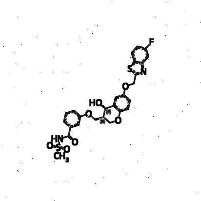 CS(=O)(=O)NC(=O)c1cccc(OC[C@@H]2COc3ccc(OCc4nc5cc(F)ccc5s4)cc3[C@@H]2O)c1